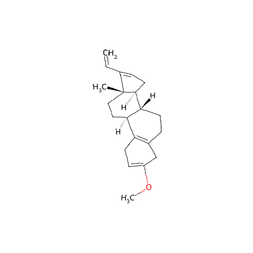 C=CC1=CC[C@H]2[C@@H]3CCC4=C(CC=C(OC)C4)[C@H]3CC[C@]12C